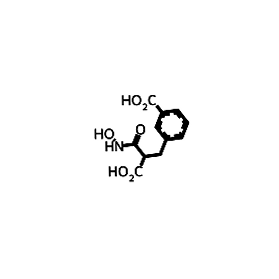 O=C(O)c1cccc(CC(C(=O)O)C(=O)NO)c1